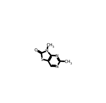 Cc1ncc2sc(=O)n(C)c2n1